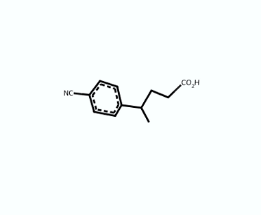 CC(CCC(=O)O)c1ccc(C#N)cc1